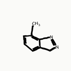 Cc1cccc2c1N=NC2